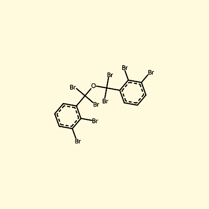 Brc1cccc(C(Br)(Br)OC(Br)(Br)c2cccc(Br)c2Br)c1Br